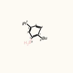 Bc1cc(C(C)C)ccc1C(C)CC